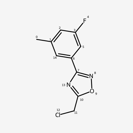 Cc1cc(F)cc(-c2noc(CCl)n2)c1